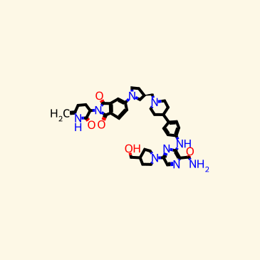 C=C1CCC(N2C(=O)c3ccc(N4CC[C@@H](CN5CCC(c6ccc(Nc7nc(N8CCC(CO)CC8)cnc7C(N)=O)cc6)CC5)C4)cc3C2=O)C(=O)N1